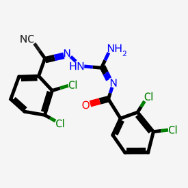 N#CC(=NNC(N)=NC(=O)c1cccc(Cl)c1Cl)c1cccc(Cl)c1Cl